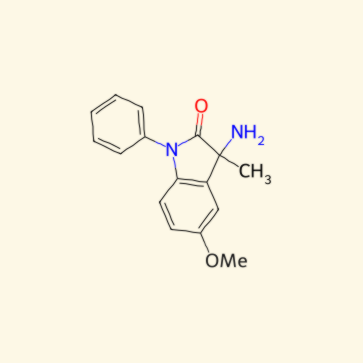 COc1ccc2c(c1)C(C)(N)C(=O)N2c1ccccc1